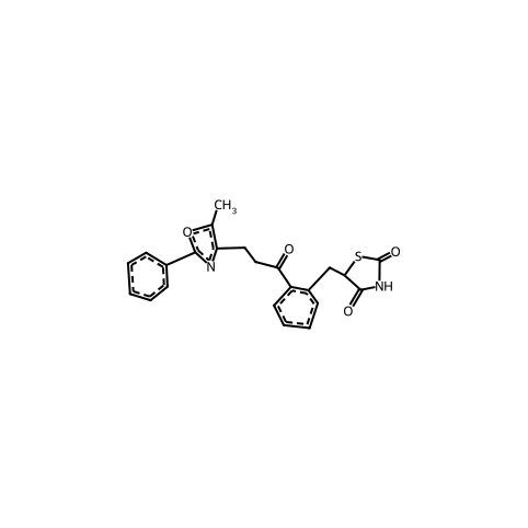 Cc1oc(-c2ccccc2)nc1CCC(=O)c1ccccc1CC1SC(=O)NC1=O